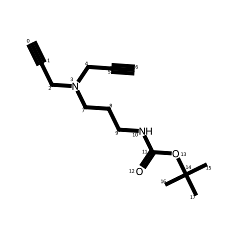 C#CCN(CC#C)CCCNC(=O)OC(C)(C)C